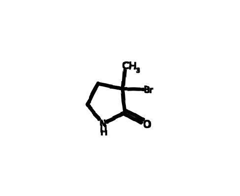 CC1(Br)CCNC1=O